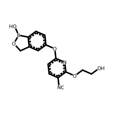 [C-]#[N+]c1ccc(Oc2ccc3c(c2)COB3O)nc1OCCO